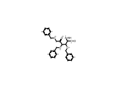 CC(=O)NC(C=O)C(OCc1ccccc1)C(OCc1ccccc1)C(=O)COCc1ccccc1